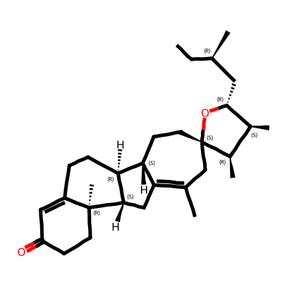 CC[C@@H](C)C[C@H]1O[C@]2(CC[C@@H]3C(=C(C)C2)C[C@H]2[C@H]3CCC3=CC(=O)CC[C@@]32C)[C@H](C)[C@@H]1C